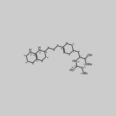 COC(O)C(CC1CC=C(CCCC2CCC3=C(NCCC3)N2)CC1)NC(O)OC(C)(C)C